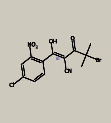 CC(C)(Br)C(=O)/C(C#N)=C(\O)c1ccc(Cl)cc1[N+](=O)[O-]